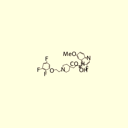 COc1ccc2ncc(F)c([C@@H](O)CCC3(C(=O)O)CCN(CCOc4cc(F)cc(F)c4F)CC3)c2c1